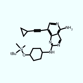 CC(C)(C)[Si](C)(C)OC1CCC(Nc2ncc3c(N)ncc(C#CC4CC4)c3n2)CC1